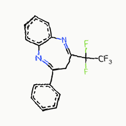 FC(F)(F)C(F)(F)C1=Nc2ccccc2N=C(c2ccccc2)C1